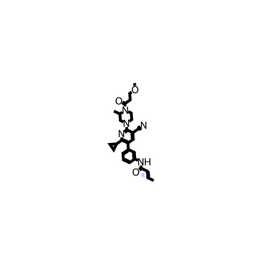 C/C=C/C(=O)Nc1cccc(-c2cc(C#N)c(N3CCN(C(=O)CCOC)C(C)C3)nc2C2CC2)c1